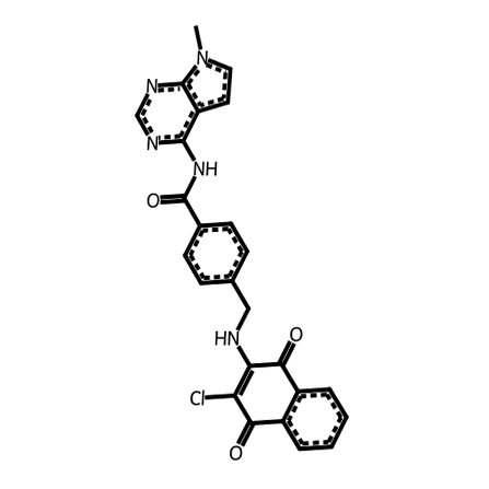 Cn1ccc2c(NC(=O)c3ccc(CNC4=C(Cl)C(=O)c5ccccc5C4=O)cc3)ncnc21